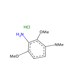 CNc1ccc(OC)c(N)c1OC.Cl